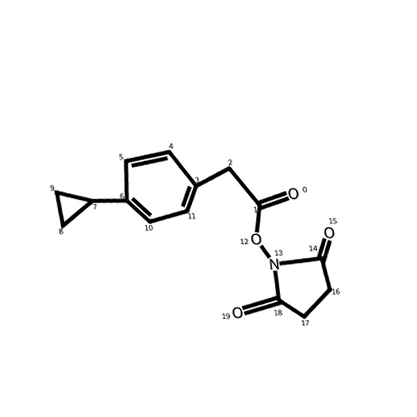 O=C(Cc1ccc(C2CC2)cc1)ON1C(=O)CCC1=O